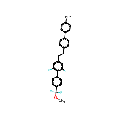 CCCc1ccc(-c2ccc(CCc3cc(F)c(-c4ccc(C(F)(F)OC(F)(F)F)cc4)c(F)c3)cc2)cc1